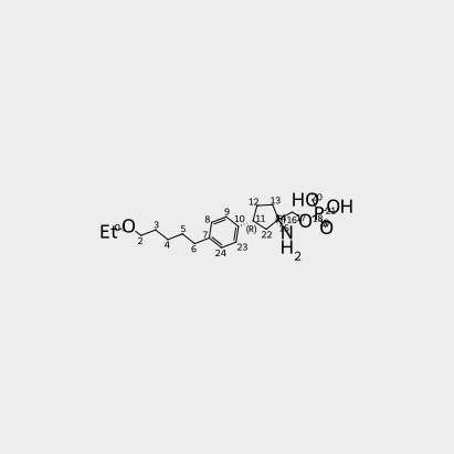 CCOCCCCCc1ccc([C@@H]2CC[C@](N)(COP(=O)(O)O)C2)cc1